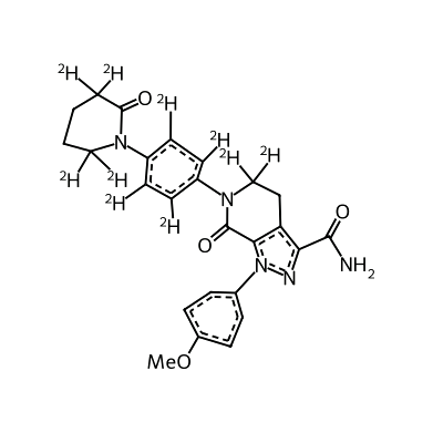 [2H]c1c([2H])c(N2C(=O)C([2H])([2H])CCC2([2H])[2H])c([2H])c([2H])c1N1C(=O)c2c(c(C(N)=O)nn2-c2ccc(OC)cc2)CC1([2H])[2H]